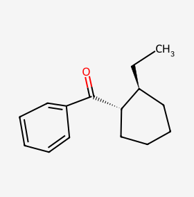 CC[C@H]1CCCC[C@@H]1C(=O)c1ccccc1